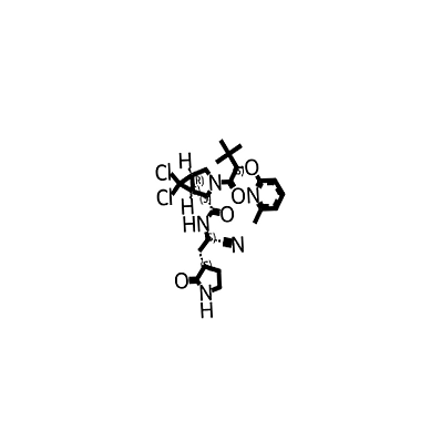 Cc1cccc(O[C@H](C(=O)N2C[C@H]3[C@@H]([C@H]2C(=O)N[C@H](C#N)C[C@@H]2CCNC2=O)C3(Cl)Cl)C(C)(C)C)n1